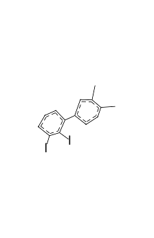 Cc1ccc(-c2cccc(I)c2I)cc1C